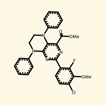 COC(=O)c1nc(-c2ccc(Cl)c(OC)c2F)nc2c1N(c1ccccc1)CCN2c1ccccc1